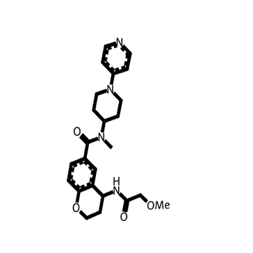 COCC(=O)NC1CCOc2ccc(C(=O)N(C)C3CCN(c4ccncc4)CC3)cc21